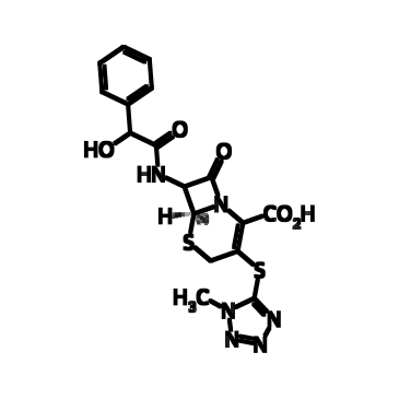 Cn1nnnc1SC1=C(C(=O)O)N2C(=O)C(NC(=O)C(O)c3ccccc3)[C@@H]2SC1